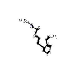 C=Cc1ccccc1CCOC(=O)/C=C/C